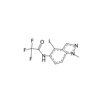 Cn1ncc2c(I)c(NC(=O)C(F)(F)F)ccc21